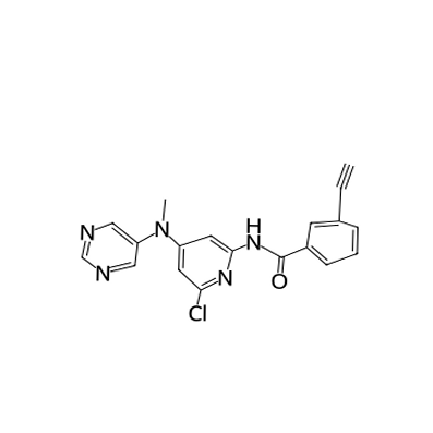 C#Cc1cccc(C(=O)Nc2cc(N(C)c3cncnc3)cc(Cl)n2)c1